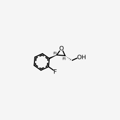 OC[C@H]1O[C@@H]1c1ccccc1F